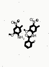 COc1cc([N+](=O)[O-])c(C)cc1N.COc1cc([N+](=O)[O-])c(C)cc1NC(=O)c1ccccc1F